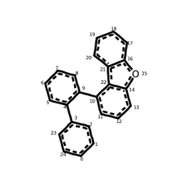 c1ccc(-c2ccccc2-c2cccc3oc4ccccc4c23)cc1